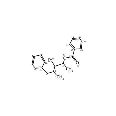 CCC(C(C)Cc1ccccc1)C(C)OC(=O)c1ccccc1